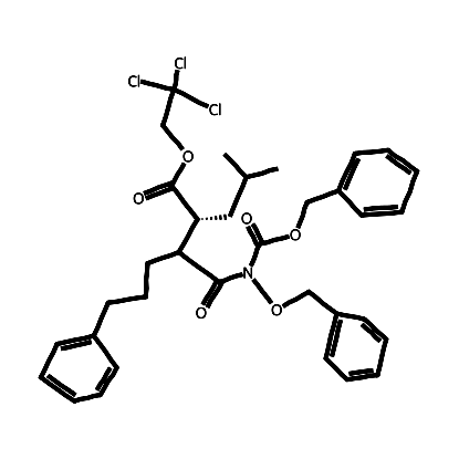 CC(C)C[C@@H](C(=O)OCC(Cl)(Cl)Cl)C(CCCc1ccccc1)C(=O)N(OCc1ccccc1)C(=O)OCc1ccccc1